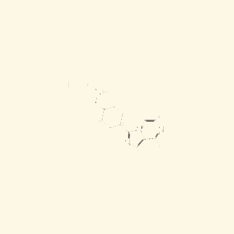 O=C(O)NCC1CCC(c2ncc3c(Cl)nccn23)CC1